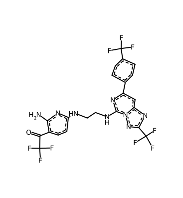 Nc1nc(NCCNc2nc(-c3ccc(C(F)(F)F)cc3)cc3nc(C(F)(F)F)nn23)ccc1C(=O)C(F)(F)F